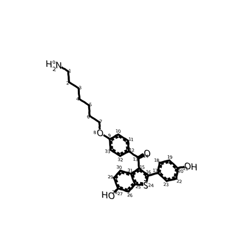 NCCCCCCCOc1ccc(C(=O)c2c(-c3ccc(O)cc3)sc3cc(O)ccc23)cc1